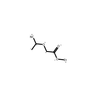 CCOC(=O)COC(C)C#N